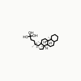 C[C@H](CCC(O)(O)O)[C@H]1CC[C@H]2[C@@H]3CCC4CCCC[C@]4(C)[C@H]3CC[C@]12C